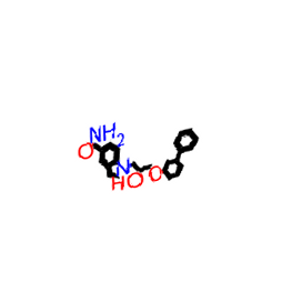 NC(=O)c1ccc2c(ccn2CC(O)COc2cccc(-c3ccccc3)c2)c1